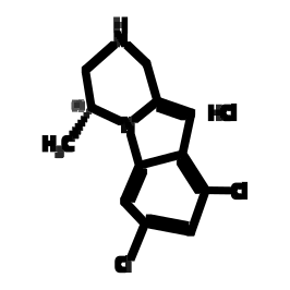 C[C@@H]1CNCc2cc3c(Cl)cc(Cl)cc3n21.Cl